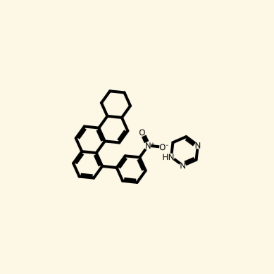 C1=NC=NNC1.O=[N+]([O-])c1cccc(-c2cccc3ccc4c(c23)C=CC2CCCCC42)c1